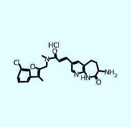 Cc1c(CN(C)C(=O)/C=C/c2cnc3c(c2)CCC(N)C(=O)N3)oc2c(Cl)cccc12.Cl